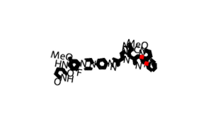 COc1ccc(CN2C3CC2CN(c2ccc(-c4nc(-c5cnn([C@H]6CC[C@H](N7CCN(c8cc(OC)c(NC9CCC(=O)NC9=O)cc8F)CC7)CC6)c5)cn5ncc(C#N)c45)cn2)C3)cn1